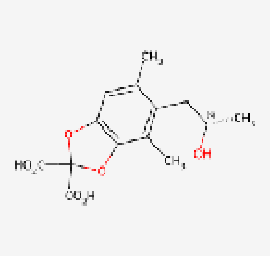 Cc1cc2c(c(C)c1C[C@H](C)O)OC(C(=O)O)(C(=O)O)O2